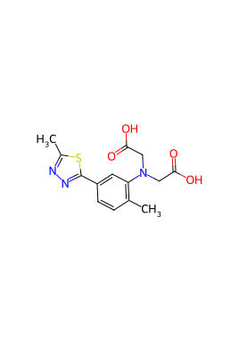 Cc1nnc(-c2ccc(C)c(N(CC(=O)O)CC(=O)O)c2)s1